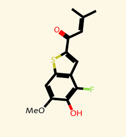 COc1cc2sc(C(=O)C=C(C)C)cc2c(F)c1O